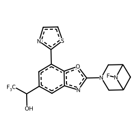 OC(c1cc(-c2nccs2)c2oc(N3CC4CC(C3)N4F)nc2c1)C(F)(F)F